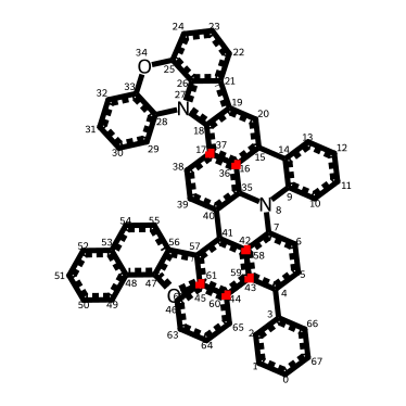 c1ccc(-c2ccc(N(c3ccccc3-c3ccc4c(c3)c3cccc5c3n4-c3ccccc3O5)c3ccccc3-c3cccc4oc5c6ccccc6ccc5c34)cc2-c2ccccc2)cc1